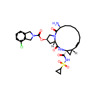 N[C@H]1CCCCC/C=C\[C@@H]2C[C@@]2(C(=O)NS(=O)(=O)C2CC2)NC(=O)[C@@H]2C[C@@H](OC(=O)N3Cc4cccc(Cl)c4C3)CN2C1=O